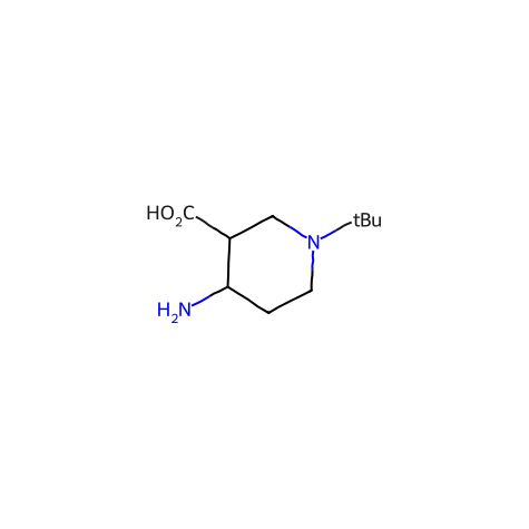 CC(C)(C)N1CCC(N)C(C(=O)O)C1